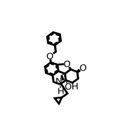 O=C1CC[C@@]2(O)[C@H]3Cc4ccc(OCc5ccccc5)c5c4[C@@]2(CCN3CC2CC2)C1O5